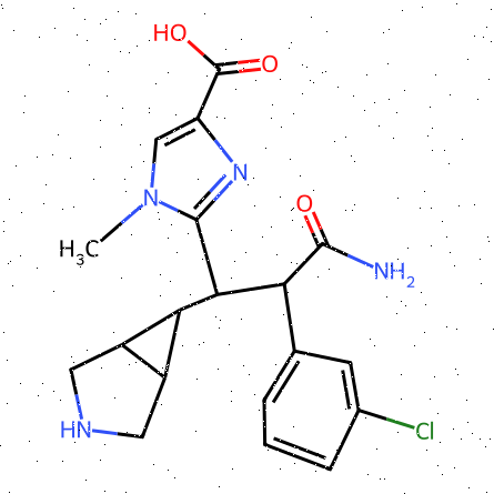 Cn1cc(C(=O)O)nc1C(C(C(N)=O)c1cccc(Cl)c1)C1C2CNCC21